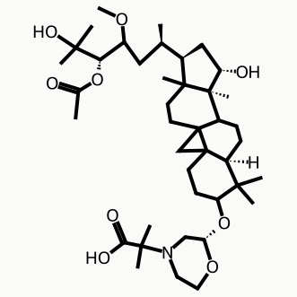 COC(C[C@@H](C)[C@H]1C[C@H](O)[C@@]2(C)C3CC[C@H]4C(C)(C)C(O[C@H]5CN(C(C)(C)C(=O)O)CCO5)CCC45CC35CCC12C)[C@H](OC(C)=O)C(C)(C)O